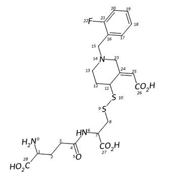 NC(CCC(=O)NC(CSSC1CCN(Cc2ccccc2F)C/C1=C/C(=O)O)C(=O)O)C(=O)O